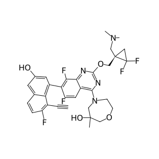 C#Cc1c(F)ccc2cc(O)cc(-c3c(F)cc4c(N5CCOCC(C)(O)C5)nc(OC[C@@]5(CN(C)C)CC5(F)F)nc4c3F)c12